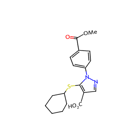 COC(=O)c1ccc(-n2ncc(C(=O)O)c2SC2CCCCC2)cc1